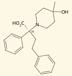 CC1(O)CCN([C@](CCc2ccccc2)(C(=O)O)c2ccccc2)CC1